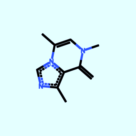 C=C1c2c(C)ncn2C(C)=CN1C